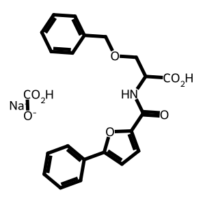 O=C(NC(COCc1ccccc1)C(=O)O)c1ccc(-c2ccccc2)o1.O=C([O-])O.[Na+]